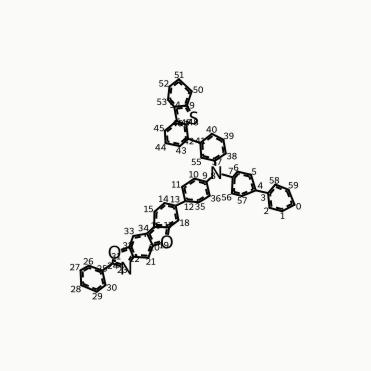 c1ccc(-c2ccc(N(c3ccc(-c4ccc5c(c4)oc4cc6nc(-c7ccccc7)oc6cc45)cc3)c3cccc(-c4cccc5c4sc4ccccc45)c3)cc2)cc1